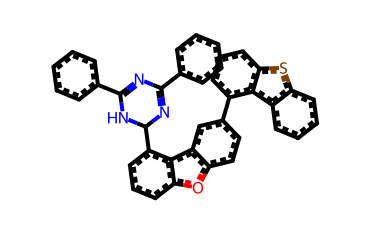 c1ccc(C2=NC(c3cccc4oc5ccc(-c6cccc7sc8ccccc8c67)cc5c34)NC(c3ccccc3)=N2)cc1